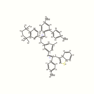 Cc1cc(/C=C(\CC2=CSC3C=CC=CC23)c2ccc(C(C)(C)C)cc2)cc(C/C(=C/c2ccc(C(C)(C)C)cc2-c2ccc(C(C)(C)C)cc2)c2ccc3c(c2)C(C)(C)CCC3(C)C)c1